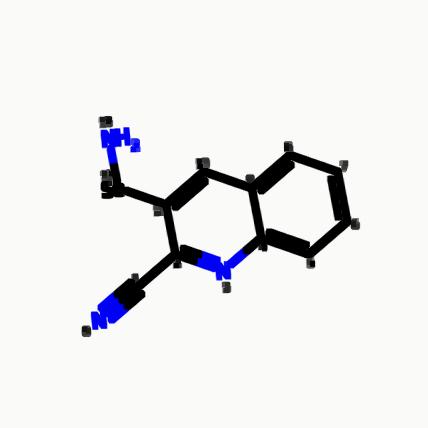 N#Cc1nc2ccccc2cc1[Se]N